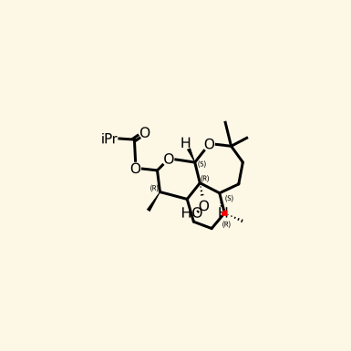 CC(C)C(=O)OC1O[C@@H]2OC(C)(C)CC[C@H]3[C@H](C)CCC([C@H]1C)[C@@]23OO